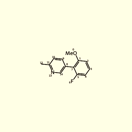 COc1cccc(F)c1-c1ccc(C)nc1